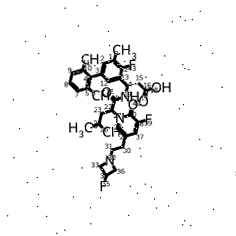 Cc1cc(-c2c(C)cccc2C)cc([C@H](CC(=O)O)NC(=O)C(CC(C)C)n2cc(CCN3CC(F)C3)cc(F)c2=O)c1F